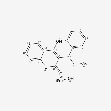 CC(=O)CC(c1ccccc1)c1c(O)c2ccccc2oc1=O.CC(C)O